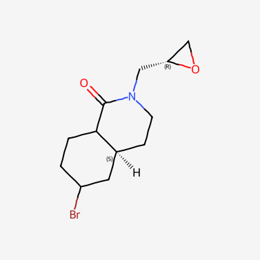 O=C1C2CCC(Br)C[C@@H]2CCN1C[C@@H]1CO1